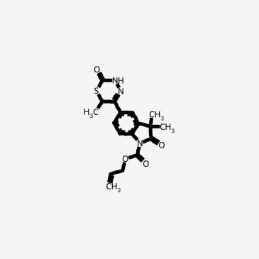 C=CCOC(=O)N1C(=O)C(C)(C)c2cc(C3=NNC(=O)SC3C)ccc21